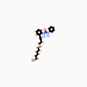 O=C(Nc1ccccc1)Nc1ccccc1C#CCCOCCCCCCBr